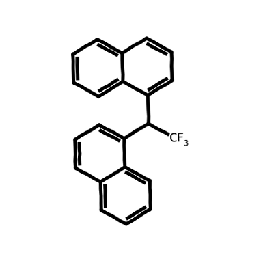 FC(F)(F)C(c1cccc2ccccc12)c1cccc2ccccc12